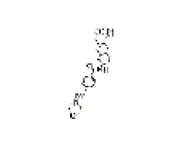 CCOC(=O)CN1CCc2ccc(NC(=O)c3ccc(/C=N/N4CCOCC4)cc3)cc2C1